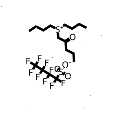 CCCC[S+](CCCC)CC(=O)CCC.O=S(=O)([O-])C(F)(F)C(F)(F)C(F)(F)C(F)(F)F